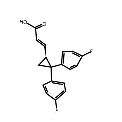 O=C(O)/C=C/[C@@H]1CC1(c1ccc(F)cc1)c1ccc(F)cc1